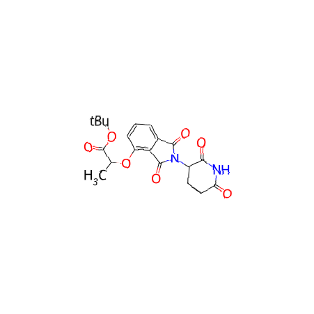 CC(Oc1cccc2c1C(=O)N(C1CCC(=O)NC1=O)C2=O)C(=O)OC(C)(C)C